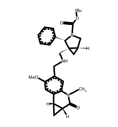 COc1cc2c(cc1CNC[C@@]13C[C@@H]1CN(C(=O)OC(C)(C)C)[C@H]3c1ccccc1)N(C)C(=O)[C@@H]1C[C@H]21